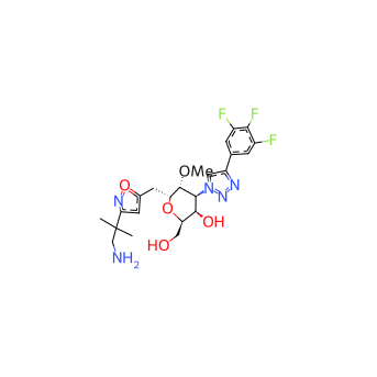 CO[C@@H]1[C@@H](n2cc(-c3cc(F)c(F)c(F)c3)nn2)[C@@H](O)[C@@H](CO)O[C@@H]1Cc1cc(C(C)(C)CN)no1